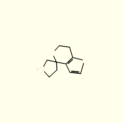 c1cc2c(s1)CCOC21CCNC1